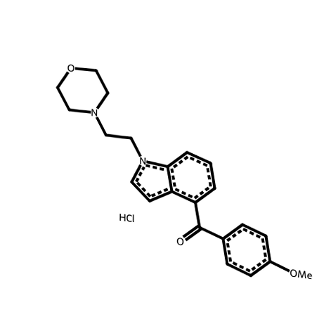 COc1ccc(C(=O)c2cccc3c2ccn3CCN2CCOCC2)cc1.Cl